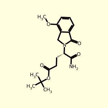 COc1cccc2c1CN([C@@H](CCC(=O)OC(C)(C)C)C(N)=O)C2=O